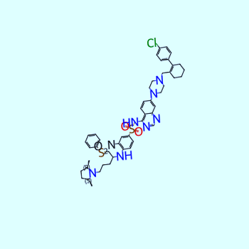 C[C@@H]1CC[C@H](C)N1CCCC(CSc1ccccc1)Nc1ccc(S(=O)(=O)Nc2ncnc3cc(N4CCN(CC5=C(c6ccc(Cl)cc6)CCCC5)CC4)ccc23)cc1[N+](=O)[O-]